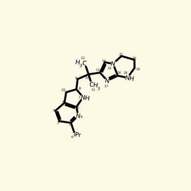 CC(C)c1ccc2c(n1)NC(CC(C)(C)c1cn3c(n1)NCCC3)C2